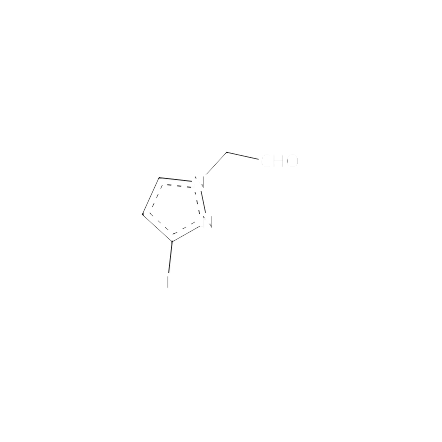 O=CCn1ccc(I)n1